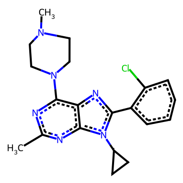 Cc1nc(N2CCN(C)CC2)c2nc(-c3ccccc3Cl)n([C]3CC3)c2n1